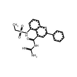 CCS(=O)(=O)Nc1cccc2nc(-c3ccccc3)cc(C(=O)NC(=N)N)c12